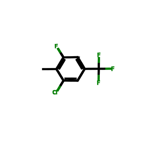 Cc1c(F)[c]c(C(F)(F)F)cc1Cl